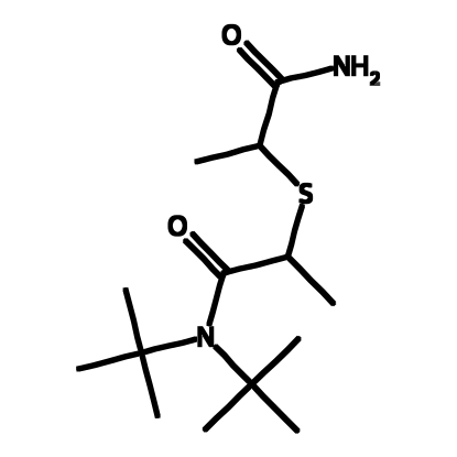 CC(SC(C)C(=O)N(C(C)(C)C)C(C)(C)C)C(N)=O